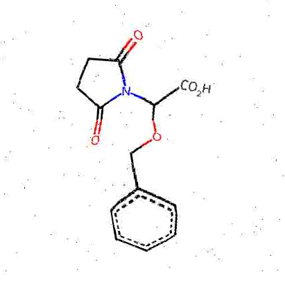 O=C(O)C(OCc1ccccc1)N1C(=O)CCC1=O